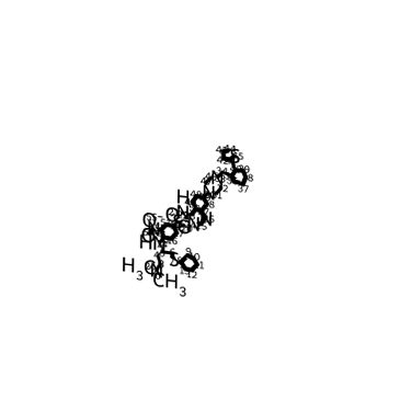 CN(C)CC[C@H](CSc1ccccc1)Nc1ccc(S(=O)(=O)Nc2ncnc3cc(N4CCN(Cc5ccccc5-c5cccs5)CC4)ccc23)cc1[N+](=O)[O-]